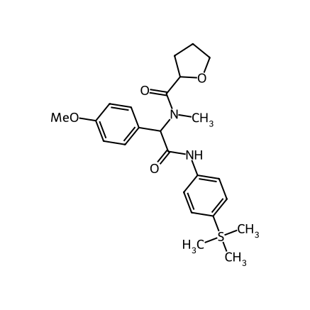 COc1ccc(C(C(=O)Nc2ccc(S(C)(C)C)cc2)N(C)C(=O)C2CCCO2)cc1